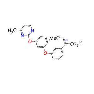 CO/C=C(/C(=O)O)c1cccc(Oc2cccc(Oc3nccc(C)n3)c2)c1